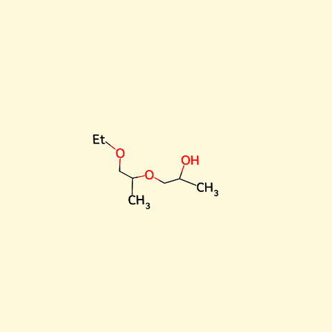 CCOCC(C)OCC(C)O